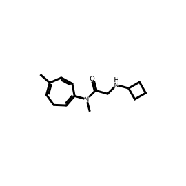 CC1=CCC=C(N(C)C(=O)CNC2CCC2)C=C1